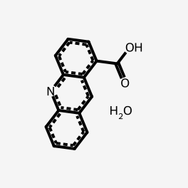 O.O=C(O)c1cccc2nc3ccccc3cc12